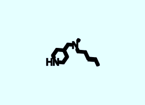 C/C=C/CCN(C)CC1CCNCC1